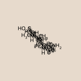 CC(C)C[C@H](NC(=O)CNC(=O)[C@@H]1CCCN1C(=O)[C@@H](N)C(C)C)C(=O)NCC(=O)N[C@@H](C)C(=O)NCC(=O)N[C@@H](C)C(=O)NCC(=O)O